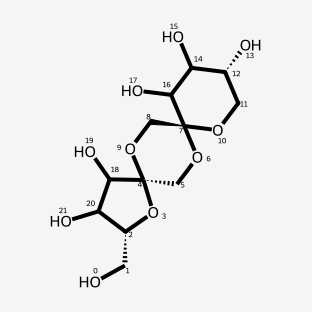 OC[C@H]1O[C@@]2(CO[C@@]3(CO2)OC[C@@H](O)C(O)C3O)C(O)C1O